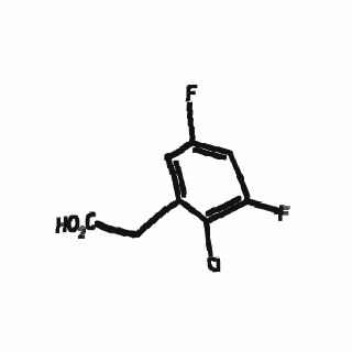 O=C(O)Cc1cc(F)cc(F)c1Cl